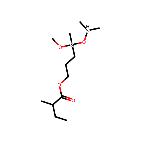 CCC(C)C(=O)OCCC[Si](C)(OC)O[SiH](C)C